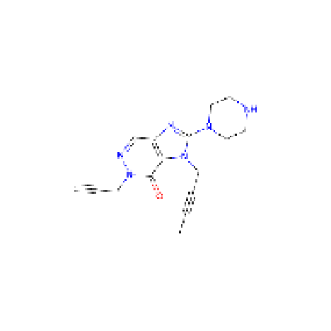 C#CCn1ncc2nc(N3CCNCC3)n(CC#CC)c2c1=O